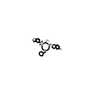 C[C@@H]1CN(SN2CCc3cc(Cl)ccc3C2)CCCN(CC2CCCCC2)CCCN(S(=O)(=O)c2ccc3oncc3c2)C1